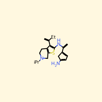 C=C(Nc1sc2c(c1C(=C)CC)CCN(C(C)C)C2)C1=CC=C(N)C1